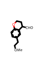 COCCc1ccc2c(c1)C(C=O)CCO2